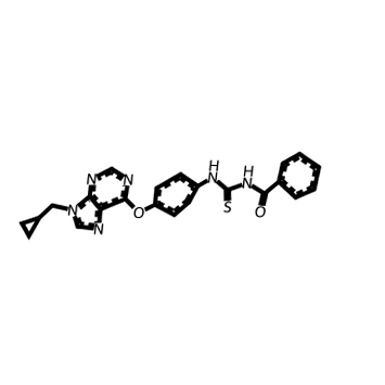 O=C(NC(=S)Nc1ccc(Oc2ncnc3c2ncn3CC2CC2)cc1)c1ccccc1